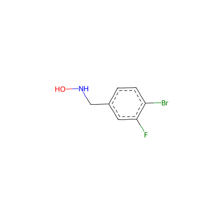 ONCc1ccc(Br)c(F)c1